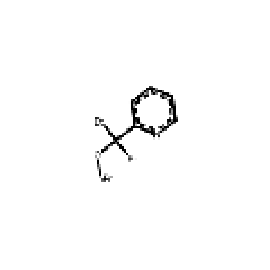 CCCOC(CC)(CC)c1ccccn1